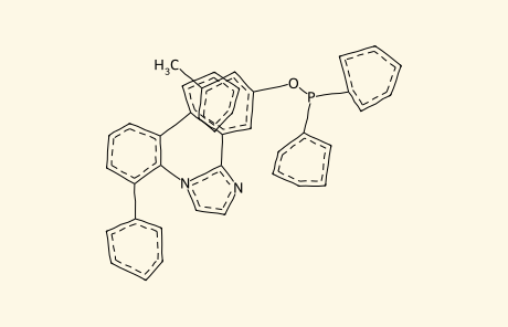 Cc1cc(OP(c2ccccc2)c2ccccc2)cc(-c2nccn2-c2c(-c3ccccc3)cccc2-c2ccccc2)c1